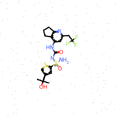 CC(C)(O)c1csc([S@](N)(=O)=NC(=O)Nc2cc(CC(F)(F)F)nc3c2CCC3)c1